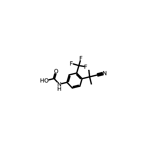 CC(C)(C#N)c1ccc(NC(=O)O)cc1C(F)(F)F